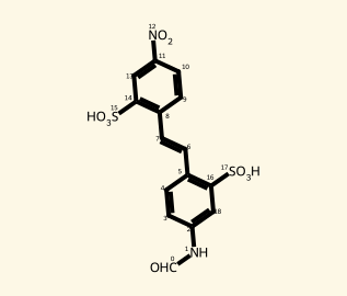 O=CNc1ccc(/C=C/c2ccc([N+](=O)[O-])cc2S(=O)(=O)O)c(S(=O)(=O)O)c1